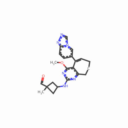 COc1nc(NC2CC(C)(C=O)C2)nc2c1C(c1ccc3nncn3c1)=CCCC2